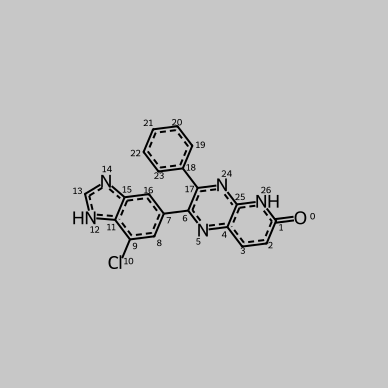 O=c1ccc2nc(-c3cc(Cl)c4[nH]cnc4c3)c(-c3ccccc3)nc2[nH]1